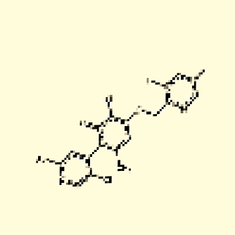 CC(=O)c1cc(-n2c(C)cc(OCc3ncc(F)cc3F)c(Cl)c2=O)c(Cl)cn1